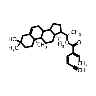 C#C/C=C\C(=C/C)C(=O)O[C@@H](C)C1CCC2C3CC=C4C[C@@](C)(O)CC[C@]4(C)C3CC[C@@]21C